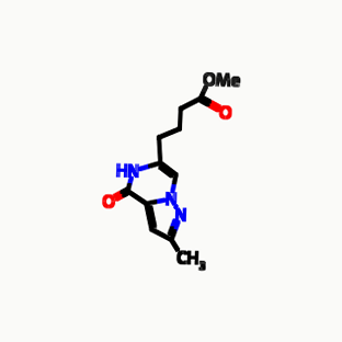 COC(=O)CCCc1cn2nc(C)cc2c(=O)[nH]1